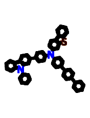 c1ccc(-c2ccc(-c3ccc(N(c4ccc(-c5ccc6c7ccccc7n(-c7ccccc7)c6c5)cc4)c4ccc5c(c4)sc4ccccc45)cc3)cc2)cc1